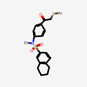 CCN(c1ccc(C(=O)CSC(C)=O)cc1)S(=O)(=O)c1ccc2c(c1)CCCC2